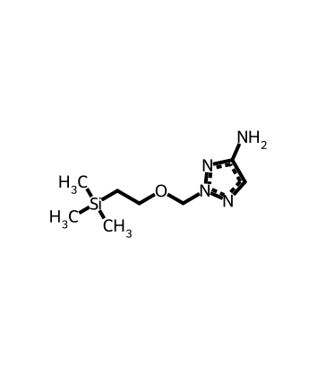 C[Si](C)(C)CCOCn1ncc(N)n1